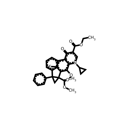 CCOC(=O)c1cn(C2CC2)c2c(OC)c(C3(C(=O)OC)CC3(c3ccccc3)c3ccccc3)c(F)cc2c1=O